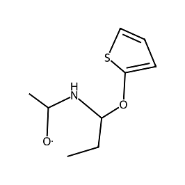 CCC(NC(C)[O])Oc1cccs1